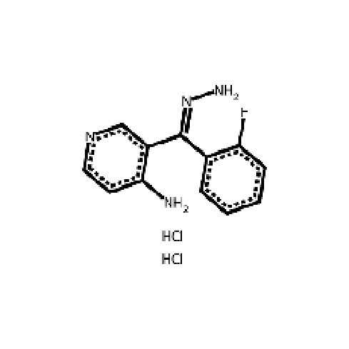 Cl.Cl.NN=C(c1cnccc1N)c1ccccc1F